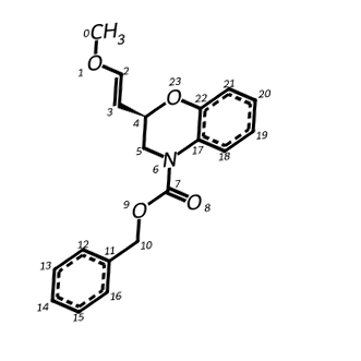 COC=C[C@@H]1CN(C(=O)OCc2ccccc2)c2ccccc2O1